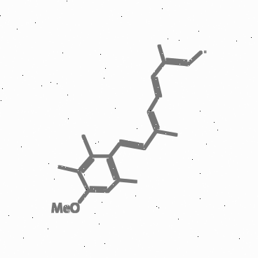 [CH2]C=C(C)C=CC=C(C)C=Cc1c(C)cc(OC)c(C)c1C